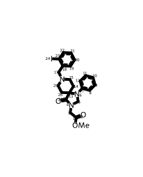 COC(=O)CN1CN(c2ccccc2)C2(CCN(Cc3ccccc3I)CC2)C1=O